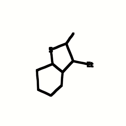 CCC1C(C)SC2CCCCC21